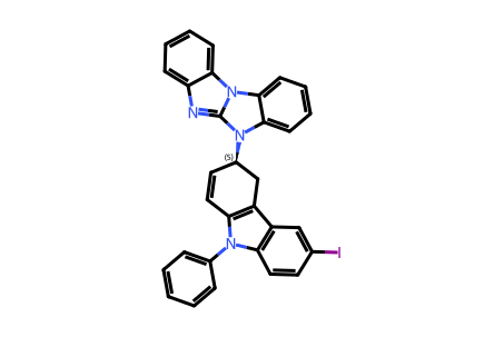 Ic1ccc2c(c1)c1c(n2-c2ccccc2)C=C[C@@H](n2c3ccccc3n3c4ccccc4nc23)C1